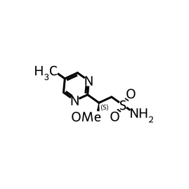 CO[C@H](CS(N)(=O)=O)c1ncc(C)cn1